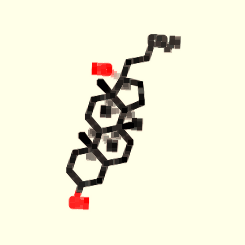 C[C@]12CCC(O)CC1CC[C@@H]1[C@@H]2CC[C@@]2(C)[C@H]1CC[C@]2(O)CCC(=O)O